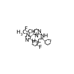 C[C@@H](Nc1nccc(-c2c(-c3ccc(F)cc3)ncn2C(C)(C)F)n1)c1ccccc1